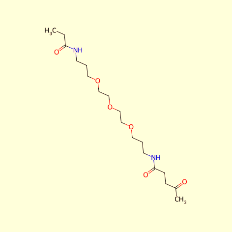 CCC(=O)NCCCOCCOCCOCCCNC(=O)CCC(C)=O